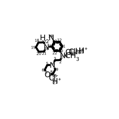 CN(CCN1CCOCC1)c1ccc(N)c(N2CCCCC2)c1.[Cl-].[Cl-].[Cl-].[H+].[H+].[H+]